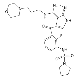 O=C(c1cccc(NS(=O)(=O)N2CCCC2)c1F)c1c[nH]c2ncnc(NCCCN3CCOCC3)c12